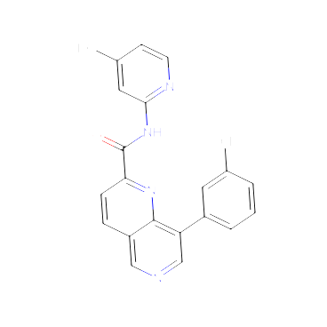 Cc1ccnc(NC(=O)c2ccc3cncc(-c4cccc(C(F)(F)F)c4)c3n2)c1